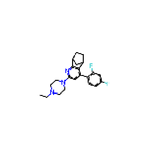 CCN1CCN(c2cc(-c3ccc(F)cc3F)c3c(n2)C2CCC3C2)CC1